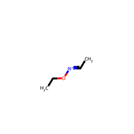 CC=[N+]OCC